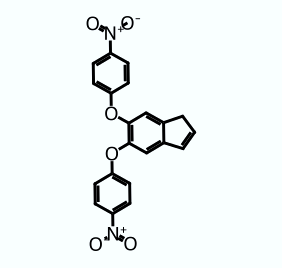 O=[N+]([O-])c1ccc(Oc2cc3c(cc2Oc2ccc([N+](=O)[O-])cc2)CC=C3)cc1